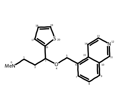 CNCCC(OCc1cccc2cnccc12)c1cccs1